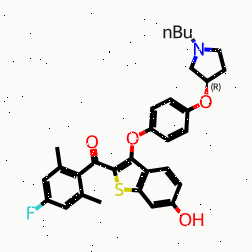 CCCCN1CC[C@@H](Oc2ccc(Oc3c(C(=O)c4c(C)cc(F)cc4C)sc4cc(O)ccc34)cc2)C1